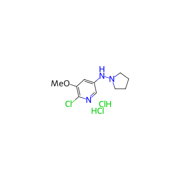 COc1cc(NN2CCCC2)cnc1Cl.Cl.Cl